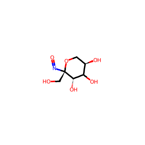 O=N[C@]1(CO)OC[C@@H](O)C(O)[C@@H]1O